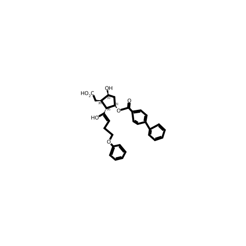 O=C(O)C[C@@H]1[C@@H](C(O)=CCCOc2ccccc2)[C@@H](OC(=O)c2ccc(-c3ccccc3)cc2)C[C@@H]1O